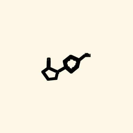 CCC(C)c1ccc(N2CCCC2=O)cc1